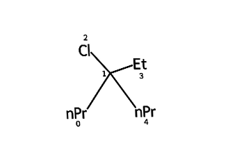 CCCC(Cl)(CC)CCC